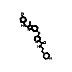 CCc1ccc(Nc2nc3cc(Oc4ccnc(C(=O)NCCN5CCNCC5)c4)ccc3n2C)cc1